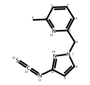 Cc1cccc(Cn2ccc(N=C=S)n2)n1